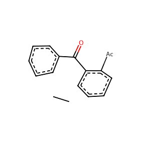 CC.CC(=O)c1ccccc1C(=O)c1ccccc1